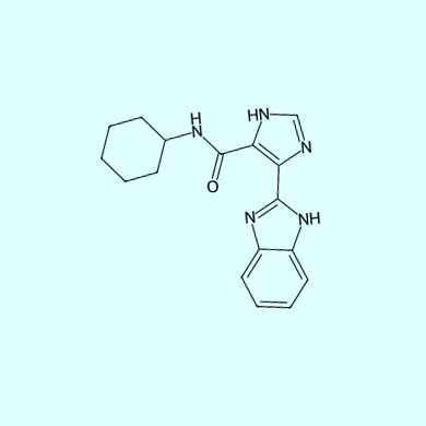 O=C(NC1CCCCC1)c1[nH]cnc1-c1nc2ccccc2[nH]1